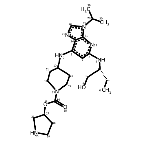 CC[C@H](CO)Nc1cc(NC2CCN(C(=O)O[C@H]3CCNC3)CC2)c2ncn(C(C)C)c2n1